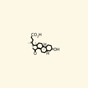 C[C@H](CCC(=O)O)[C@H]1CC(=O)C2=C3CC[C@H]4C[C@@H](O)CC[C@]4(C)[C@H]3CC[C@@]21C